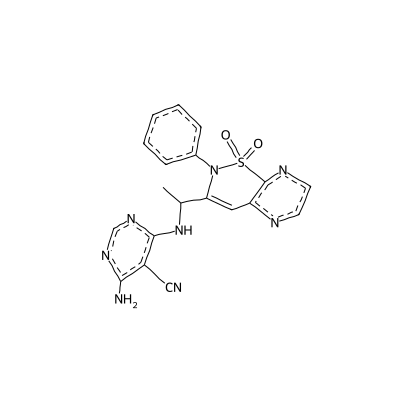 CC(Nc1ncnc(N)c1C#N)C1=Cc2nccnc2S(=O)(=O)N1c1ccccc1